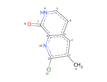 Cc1cc2cc[nH]c(=O)c2nc1Cl